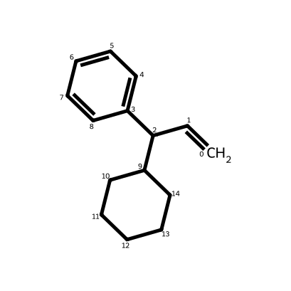 C=C[C](c1ccccc1)C1CCCCC1